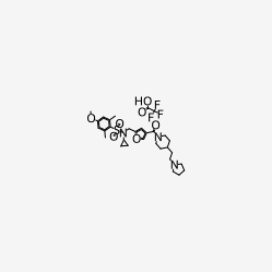 COc1cc(C)c(S(=O)(=O)N(Cc2cc(C(=O)N3CCC(CCN4CCCC4)CC3)co2)C2CC2)c(C)c1.O=C(O)C(F)(F)F